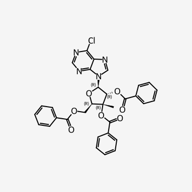 C[C@@]1(OC(=O)c2ccccc2)[C@@H](COC(=O)c2ccccc2)O[C@@H](n2cnc3c(Cl)ncnc32)[C@@H]1OC(=O)c1ccccc1